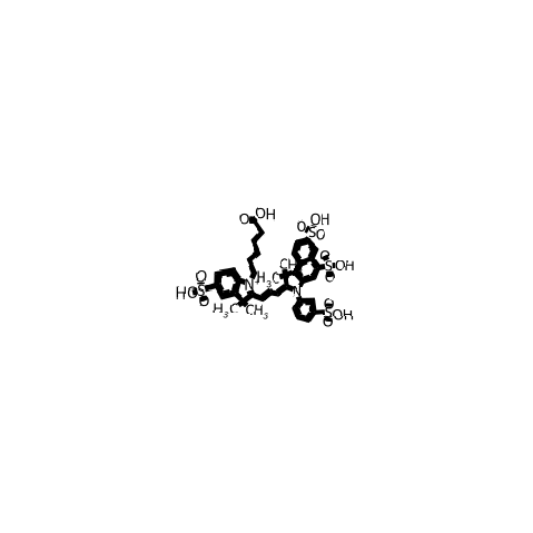 CC1(C)C(/C=C/C=C2/N(c3cccc(S(=O)(=O)O)c3)c3cc(S(=O)(=O)O)c4cc(S(=O)(=O)O)ccc4c3C2(C)C)=[N+](CCCCCC(=O)O)c2ccc(S(=O)(=O)O)cc21